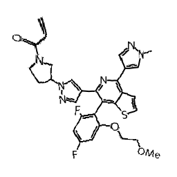 C=CC(=O)N1CCC(n2cc(-c3nc(-c4cnn(C)c4)c4ccsc4c3-c3c(F)cc(F)cc3OCCOC)cn2)C1